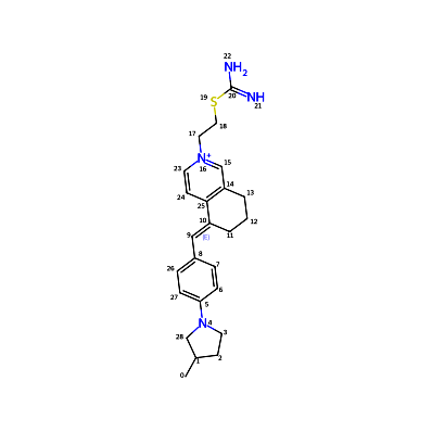 CC1CCN(c2ccc(/C=C3\CCCc4c[n+](CCSC(=N)N)ccc43)cc2)C1